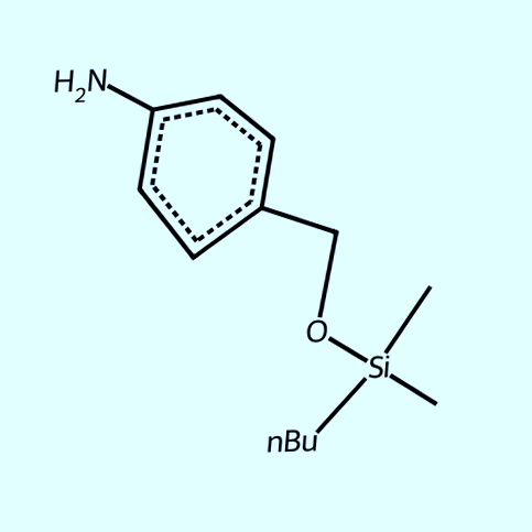 CCCC[Si](C)(C)OCc1ccc(N)cc1